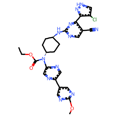 CCOC(=O)N(c1cnc(-c2cnc(OC)nc2)cn1)[C@H]1CC[C@H](Nc2ncc(C#N)c(-c3n[nH]cc3Cl)n2)CC1